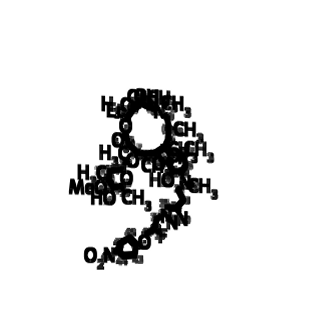 CC[C@H]1OC(=O)[C@H](C)[C@@H](OC[C@H]2C[C@@](C)(OC)[C@@H](O)[C@H](C)O2)[C@H](C)[C@@H](O[C@@H]2O[C@H](C)C[C@H](N(C)CCc3cn(C[C@@H](F)COc4ccc([N+](=O)[O-])cc4)nn3)[C@H]2O)[C@](C)(O)C[C@@H](C)CN(C)[C@H](C)[C@@H](O)[C@]1(C)O